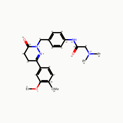 CCOc1cc(C2=NN(Cc3ccc(NC(=O)CN(C(C)C)C(C)C)cc3)C(=O)CC2)ccc1OC